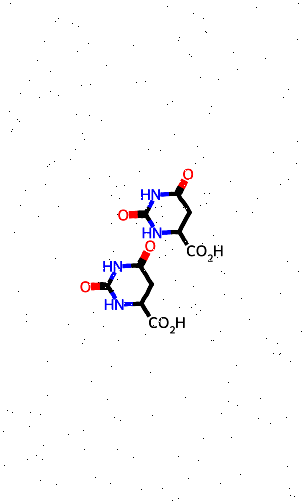 O=C1CC(C(=O)O)NC(=O)N1.O=C1CC(C(=O)O)NC(=O)N1